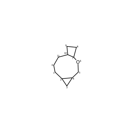 C1CC2CC2COC2CCC2C1